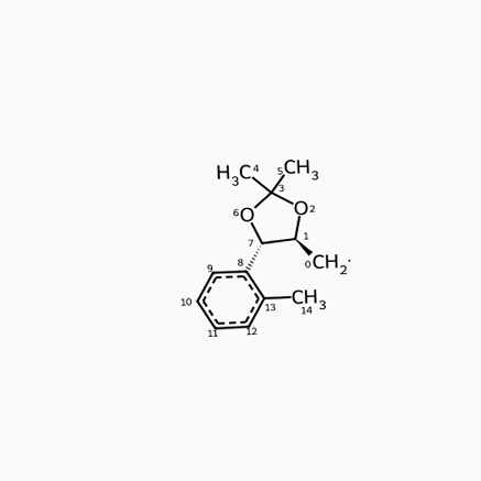 [CH2][C@@H]1OC(C)(C)O[C@H]1c1ccccc1C